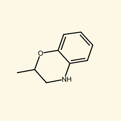 CC1CNc2ccccc2O1